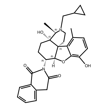 Cc1ccc(O)c2c1[C@]13CCN(CC4CC4)[C@H](C)[C@]1(O)CC[C@@H](N1C(=O)Cc4ccccc4C1=O)[C@@H]3O2